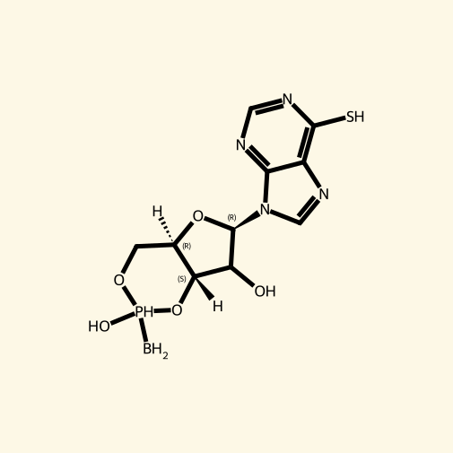 B[PH]1(O)OC[C@H]2O[C@@H](n3cnc4c(S)ncnc43)C(O)[C@@H]2O1